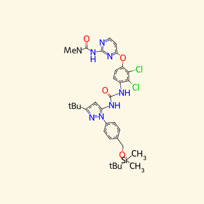 CNC(=O)Nc1nccc(Oc2ccc(NC(=O)Nc3cc(C(C)(C)C)nn3-c3ccc(CO[Si](C)(C)C(C)(C)C)cc3)c(Cl)c2Cl)n1